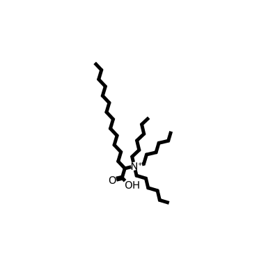 CCCCCCCCCCCCCC(C(=O)O)[N+](CCCCCC)(CCCCCC)CCCCCC